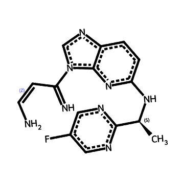 C[C@H](Nc1ccc2ncn(C(=N)/C=C\N)c2n1)c1ncc(F)cn1